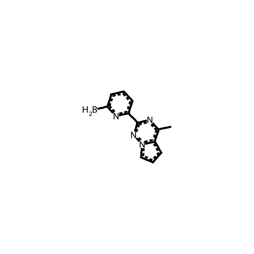 Bc1cccc(-c2nc(C)c3cccn3n2)n1